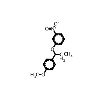 C.COc1ccc(C(C)Oc2cccc([N+](=O)[O-])c2)cc1